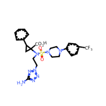 Nc1nnn(CCN(C2(C(=O)O)CC2c2ccccc2)S(=O)(=O)N2CCN(c3ccc(C(F)(F)F)cc3)CC2)n1